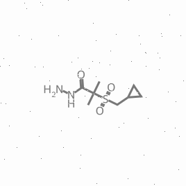 CC(C)(C(=O)NN)S(=O)(=O)CC1CC1